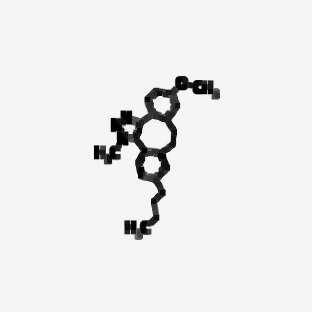 CCCCc1ccc2c(c1)CCc1cc(OC)ccc1-c1nnn(C)c1-2